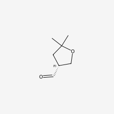 CC1(C)C[C@@H](C=O)CO1